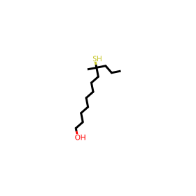 CCCC(C)(S)CCCCCCCCO